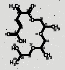 C=C(C=CC(=O)O)C(=O)OCC(C)OCC(C)OCC(C)O